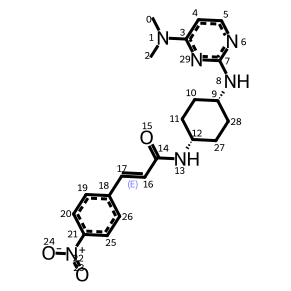 CN(C)c1ccnc(N[C@H]2CC[C@@H](NC(=O)/C=C/c3ccc([N+](=O)[O-])cc3)CC2)n1